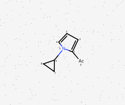 CC(=O)c1cccn1C1CC1